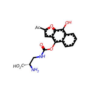 CC(=O)c1cc2c(OC(=O)NC[C@H](N)C(=O)O)c3ccccc3c(O)c2o1